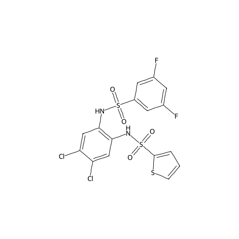 O=S(=O)(Nc1cc(Cl)c(Cl)cc1NS(=O)(=O)c1cccs1)c1cc(F)cc(F)c1